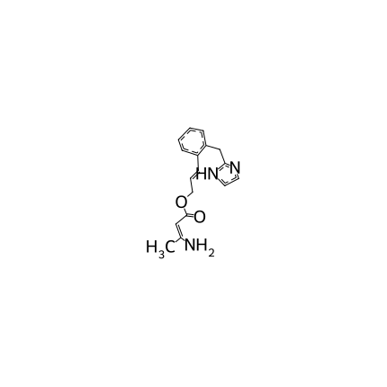 CC(N)=CC(=O)OCC=Cc1ccccc1Cc1ncc[nH]1